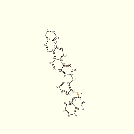 c1ccc2c(c1)ccc1c2ccc2c3ccc(Cc4cccc5c4sc4ccc6ccccc6c45)cc3ccc21